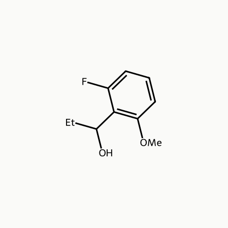 CCC(O)c1c(F)cccc1OC